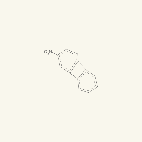 O=[N+]([O-])c1ccc2c(c1)-c1ccccc1-2